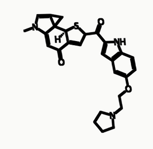 CN1C=C2CC23C1=CC(=O)C1=CC(C(=O)c2cc4cc(OCCN5CCCC5)ccc4[nH]2)S[C@@H]13